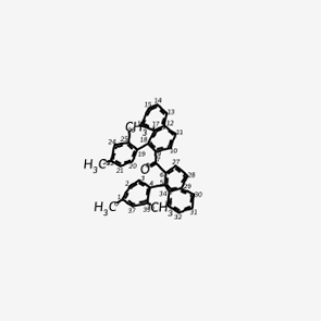 Cc1ccc(-c2c(C(=O)c3ccc4ccccc4c3-c3ccc(C)cc3C)ccc3ccccc23)c(C)c1